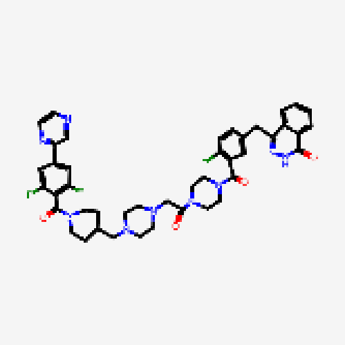 O=C(CN1CCN(CC2CCN(C(=O)c3c(F)cc(-c4cnccn4)cc3F)CC2)CC1)N1CCN(C(=O)c2cc(Cc3n[nH]c(=O)c4ccccc34)ccc2F)CC1